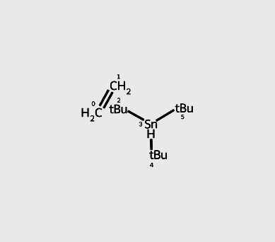 C=C.C[C](C)(C)[SnH]([C](C)(C)C)[C](C)(C)C